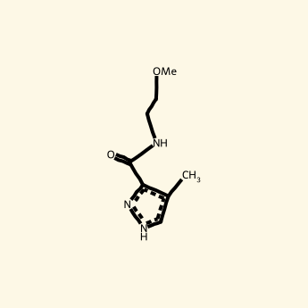 COCCNC(=O)c1n[nH]cc1C